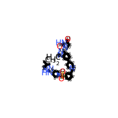 C=Cc1cnc(NC2CCN(S(=O)(=O)c3cccc(CN4CCC(c5ccc6c(N7CCC(=O)NC7=O)nn(C)c6c5)CC4)c3)CC2)nc1